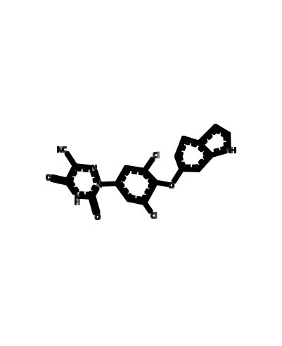 N#Cc1nn(-c2cc(Cl)c(Oc3ccc4cc[nH]c4c3)c(Cl)c2)c(=O)[nH]c1=O